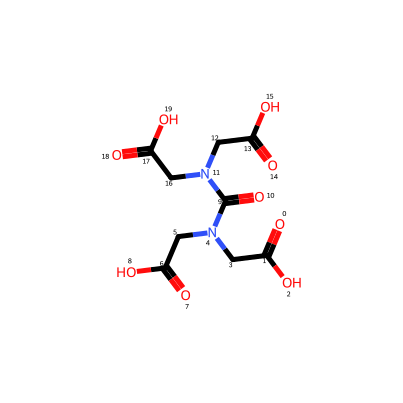 O=C(O)CN(CC(=O)O)C(=O)N(CC(=O)O)CC(=O)O